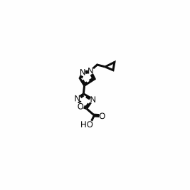 O=C(O)c1nc(-c2cnn(CC3CC3)c2)no1